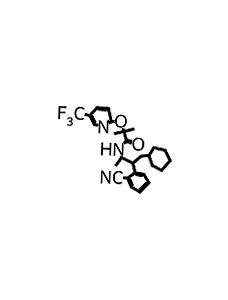 CC(NC(=O)C(C)(C)Oc1ccc(C(F)(F)F)cn1)C(CC1CCCCC1)c1ccccc1C#N